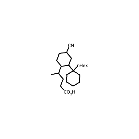 CCCCCCC1(C2CC(C#N)CCC2C(C)CCC(=O)O)CCCCC1